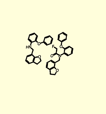 O=C(CF)N(Cc1cccc2c1OCC2)c1ccccc1Oc1ccccc1.c1ccc(Oc2ccccc2NCc2cccc3c2OCC3)cc1